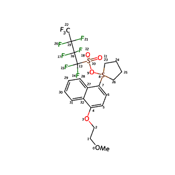 COCCOc1ccc(S2(OS(=O)(=O)C(F)(F)C(F)(F)C(F)(F)C(F)(F)F)CCCC2)c2ccccc12